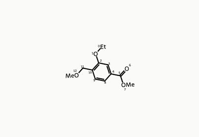 CCOc1cc(C(=O)OC)ccc1COC